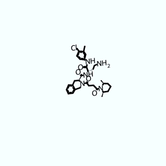 Cc1cc(NC(=O)[C@H](CCN)NC(=O)[C@@H]2Cc3ccccc3CN2C(=O)CCC(=O)N2[C@H](C)CCC[C@@H]2C)ccc1Cl